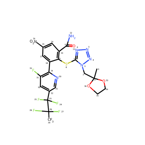 CC1(Cn2nnnc2Sc2c(C(N)=O)cc([N+](=O)[O-])cc2-c2ncc(C(F)(F)C(F)(F)C(F)(F)F)cc2F)OCCO1